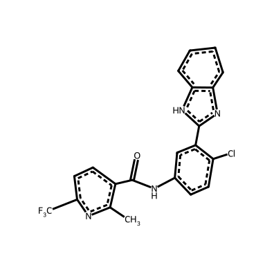 Cc1nc(C(F)(F)F)ccc1C(=O)Nc1ccc(Cl)c(-c2nc3ccccc3[nH]2)c1